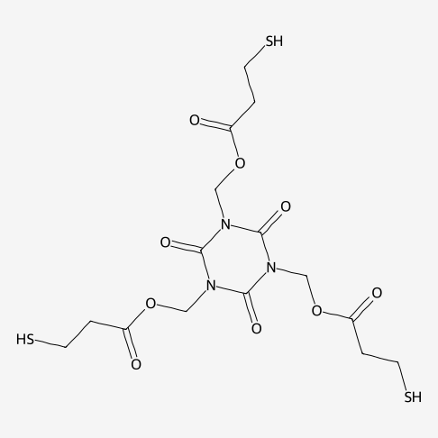 O=C(CCS)OCn1c(=O)n(COC(=O)CCS)c(=O)n(COC(=O)CCS)c1=O